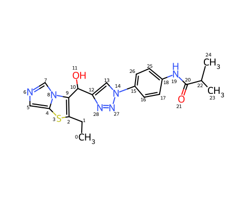 CCc1sc2cncn2c1C(O)c1cn(-c2ccc(NC(=O)C(C)C)cc2)nn1